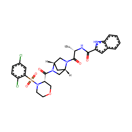 CC(C)(C)[C@H](NC(=O)c1cc2ccccc2[nH]1)C(=O)N1C[C@@H]2C[C@H]1CN2C(=O)[C@@H]1COCCN1S(=O)(=O)c1cc(Cl)ccc1Cl